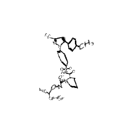 CC(=O)OC(C)O/N=[N+](\[O-])N1CCC[C@H]1C(=O)NS(=O)(=O)c1ccc(-n2nc(C(F)(F)F)cc2-c2ccc(C)cc2)cc1